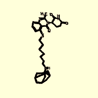 Cc1nc2cccc(SCCCCCCCNC34CC5CC(CC(C5)C3)C4)c2c(=O)n1[C@@H]1CCC(=O)NC1=O